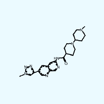 CN1CCC(N2CCC(C(=O)Nc3cc4cc(-c5cn(C)nn5)cnc4cn3)CC2)CC1